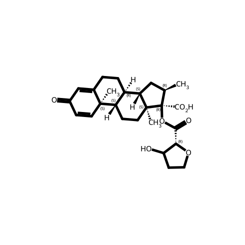 C[C@@H]1C[C@H]2[C@@H]3CCC4=CC(=O)C=C[C@]4(C)[C@H]3CC[C@]2(C)[C@@]1(OC(=O)[C@@H]1OCCC1O)C(=O)O